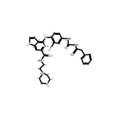 O=C(Cc1ccccc1)NC(=S)Nc1ccc(Oc2nc(C(=O)NCCN3CCOCC3)cc3sccc23)c(F)c1